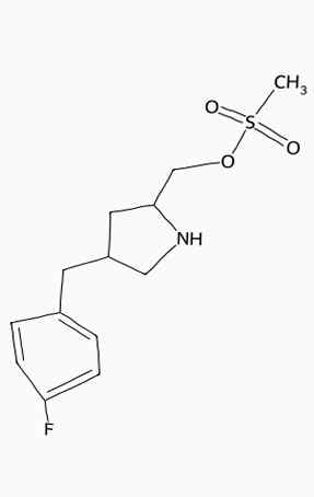 CS(=O)(=O)OCC1CC(Cc2ccc(F)cc2)CN1